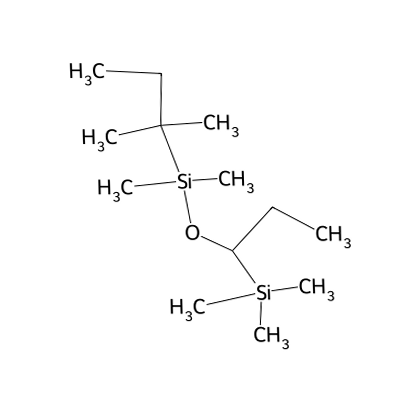 CCC(O[Si](C)(C)C(C)(C)CC)[Si](C)(C)C